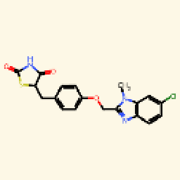 Cn1c(COc2ccc(CC3SC(=O)NC3=O)cc2)nc2ccc(Cl)cc21